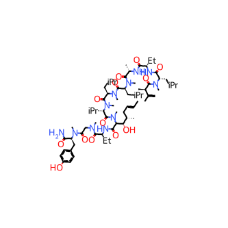 C=C(C)[C@@H](C)C(=O)N(C)[C@@H](CC(C)C)C(=O)N[C@@H](CC)C(=O)N[C@@H](C)C(=O)N(C)[C@@H](CC(C)C)C(=O)N(C)[C@H](CC(C)C)C(=O)N(C)[C@H](C(=O)N(C)C(C(=O)N[C@@H](CC)C(=O)N(C)CC(=O)N(C)[C@@H](Cc1ccc(O)cc1)C(N)=O)[C@@H](O)[C@@H](C)C/C=C/C)C(C)C